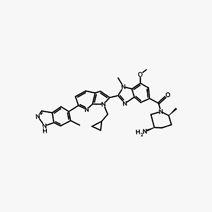 COc1cc(C(=O)N2C[C@H](N)CC[C@@H]2C)cc2nc(-c3cc4ccc(-c5cc6cn[nH]c6cc5C)nc4n3CC3CC3)n(C)c12